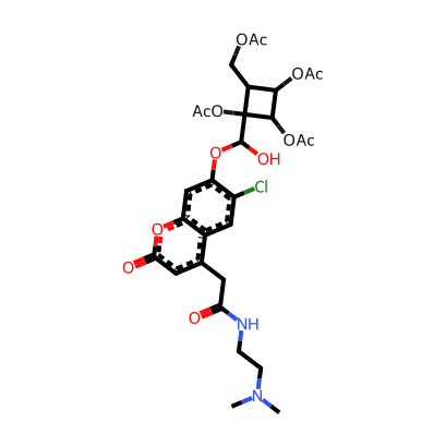 CC(=O)OCC1C(OC(C)=O)C(OC(C)=O)C1(OC(C)=O)C(O)Oc1cc2oc(=O)cc(CC(=O)NCCN(C)C)c2cc1Cl